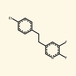 CCc1ccc(CCc2cnc(F)c(F)c2)cc1